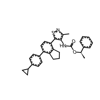 Cc1nsc(-c2ccc(-c3ccc(C4CC4)cc3)c3c2CCC3)c1NC(=O)O[C@H](C)c1ccccc1